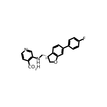 O=C(O)c1ccncc1NC[C@H]1COc2cc(-c3ccc(F)cc3)ccc21